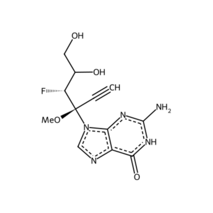 C#C[C@@](OC)([C@H](F)C(O)CO)n1cnc2c(=O)[nH]c(N)nc21